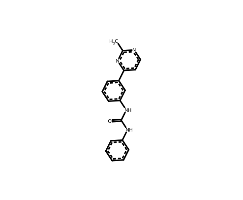 Cc1nccc(-c2cccc(NC(=O)Nc3ccccc3)c2)n1